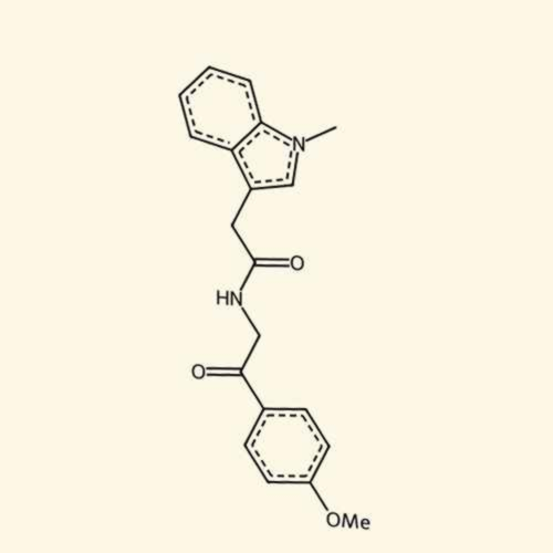 COc1ccc(C(=O)CNC(=O)Cc2cn(C)c3ccccc23)cc1